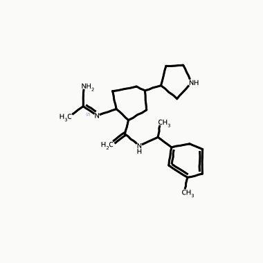 C=C(NC(C)C1=C=C(C)C=CC1)C1CC(C2CCNC2)CCC1/N=C(/C)N